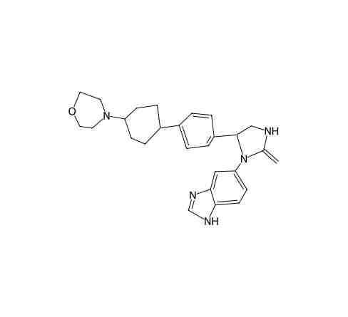 C=C1NCC(c2ccc(C3CCC(N4CCOCC4)CC3)cc2)N1c1ccc2[nH]cnc2c1